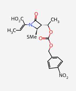 CC=C(C(=O)O)N1C(=O)[C@H](C(C)OC(=O)OCc2ccc([N+](=O)[O-])cc2)[C@H]1SC